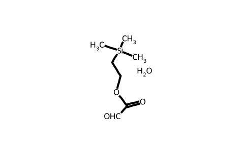 C[Si](C)(C)CCOC(=O)C=O.O